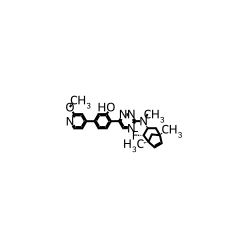 COc1cc(-c2ccc(-c3cnc(N(C)[C@@H]4C[C@@]5(C)C=C[C@](C)(C5)[C@@H]4F)nn3)c(O)c2)ccn1